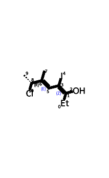 CC/C(O)=C(I)\C=C(/C)[C@@H](C)Cl